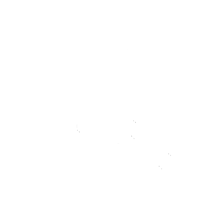 Cn1cc(-n2nc(-c3ccc(Cl)cc3)cc(C(=O)NCC(O)CF)c2=O)cn1